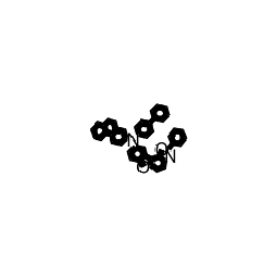 c1ccc(-c2ccc(N(c3ccc4c(ccc5ccccc54)c3)c3ccc4oc5ccc6nc(-c7ccccc7)oc6c5c4c3)cc2)cc1